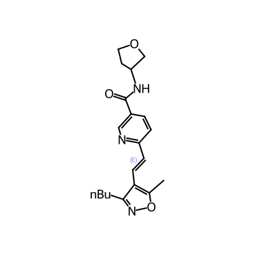 CCCCc1noc(C)c1/C=C/c1ccc(C(=O)NC2CCOC2)cn1